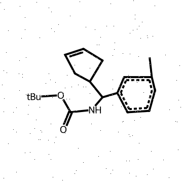 Cc1cccc(C(NC(=O)OC(C)(C)C)C2CC=CC2)c1